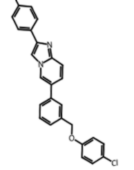 Cc1ccc(-c2cn3cc(-c4cccc(COc5ccc(Cl)cc5)c4)ccc3n2)cc1